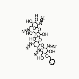 [N-]=[N+]=NCC1OC(OC2C(CO)OC(OC3C(O)C(N=[N+]=[N-])CC(N=[N+]=[N-])C3OC3OC(CO)C(OCc4ccccc4)C(O)C3N=[N+]=[N-])C2O)C(N=[N+]=[N-])C(O)C1O